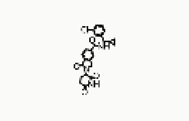 O=C1CCC(N2Cc3cc(C(=O)N[C@H](c4cccc(Cl)c4)C4CC4)ccc3C2=O)C(=O)N1